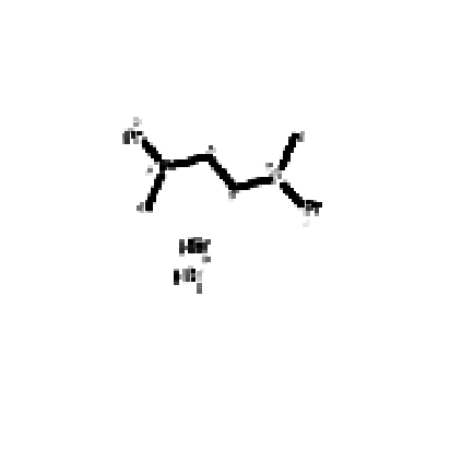 Br.Br.CC(C)P(C)CCP(C)C(C)C